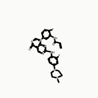 C=CC(=O)Nc1cc(-n2cnc(=O)c3cnc(Nc4ccc(N5CCN(C)CC5)cc4F)nc32)ccc1F